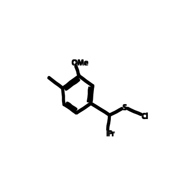 COc1cc(C(SCl)C(C)C)ccc1C